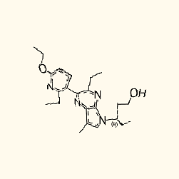 CCOc1ccc(-c2nc3c(C)cn([C@H](CC)CCO)c3nc2CC)c(CC)n1